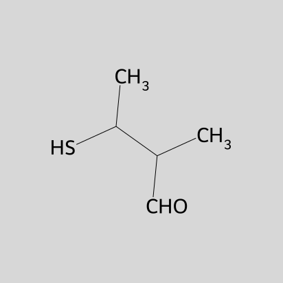 CC(S)C(C)C=O